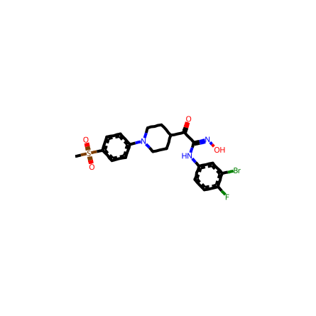 CS(=O)(=O)c1ccc(N2CCC(C(=O)/C(=N/O)Nc3ccc(F)c(Br)c3)CC2)cc1